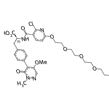 COc1cnn(C)c(=O)c1-c1ccc(C[C@H](NC(=O)c2ccc(OCCOCCOCCOCCN=[N+]=[N-])nc2Cl)C(=O)O)cc1